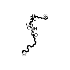 CC/C=C\C/C=C\C/C=C\C/C=C\C/C=C\CCCC(=O)OCCNC(=O)OC(=O)/C=C/C(=O)OC(=O)CCCC[C@H]1CCSS1